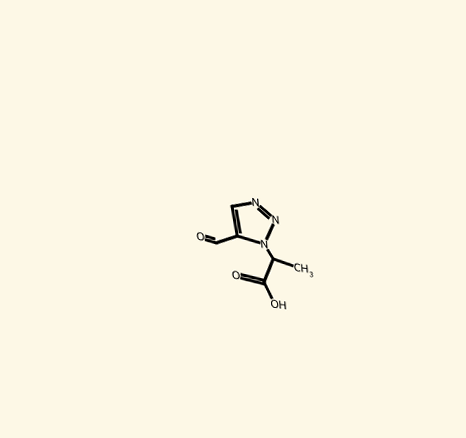 CC(C(=O)O)n1nncc1C=O